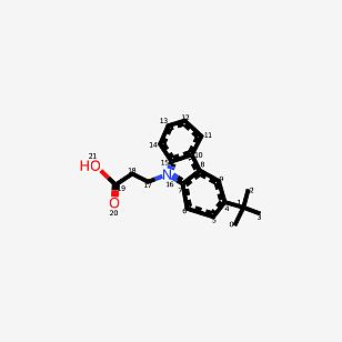 CC(C)(C)c1ccc2c(c1)c1ccccc1n2CCC(=O)O